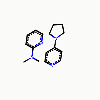 CN(C)c1ccccn1.c1cc(N2CCCC2)ccn1